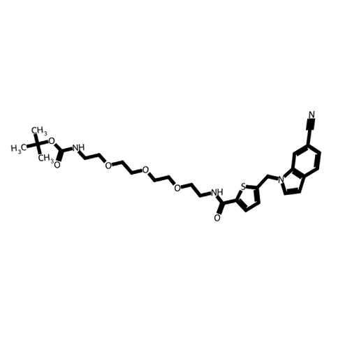 CC(C)(C)OC(=O)NCCOCCOCCOCCNC(=O)c1ccc(Cn2ccc3ccc(C#N)cc32)s1